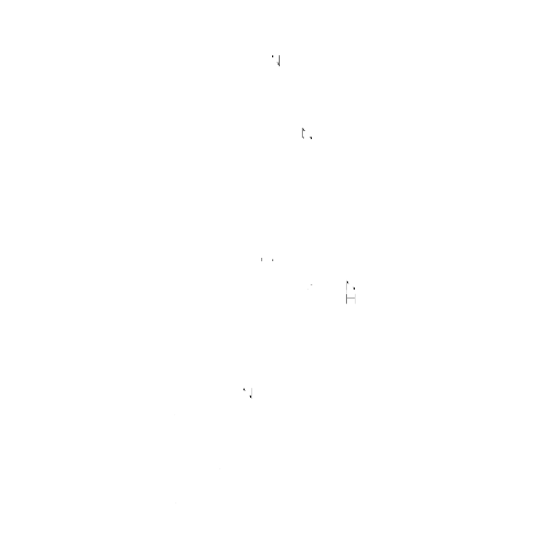 O=C(Nc1cccc(-n2ccnc2)c1)c1ccn(-c2ccccc2)c1